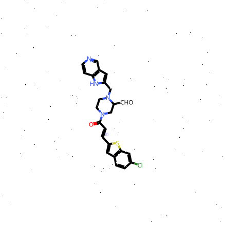 O=CC1CN(C(=O)/C=C/c2cc3ccc(Cl)cc3s2)CCN1Cc1cc2cnccc2[nH]1